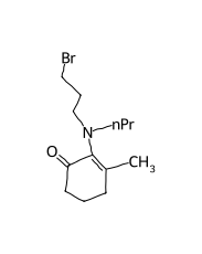 CCCN(CCCBr)C1=C(C)CCCC1=O